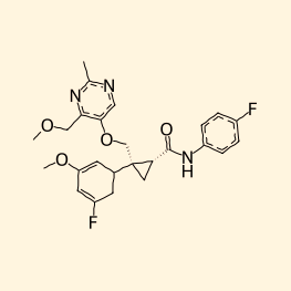 COCc1nc(C)ncc1OC[C@@]1(C2C=C(OC)C=C(F)C2)C[C@H]1C(=O)Nc1ccc(F)cc1